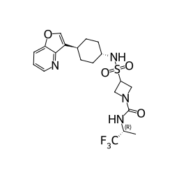 C[C@@H](NC(=O)N1CC(S(=O)(=O)N[C@H]2CC[C@H](c3coc4cccnc43)CC2)C1)C(F)(F)F